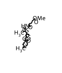 COC(=O)CCCC(=O)Nc1nc(C)c(-c2csc(S(=O)(=O)N3CCN(C)CC3)c2)s1